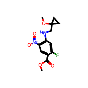 COC(=O)c1cc([N+](=O)[O-])c(NCC2(OC)CC2)cc1F